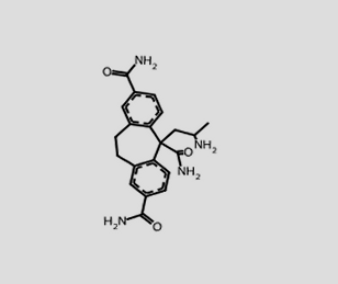 CC(N)CC1(C(N)=O)c2ccc(C(N)=O)cc2CCc2cc(C(N)=O)ccc21